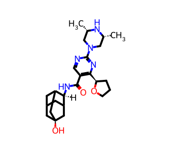 C[C@@H]1CN(c2ncc(C(=O)N[C@H]3C4CC5CC3C[C@@](O)(C5)C4)c([C@H]3CCCO3)n2)C[C@H](C)N1